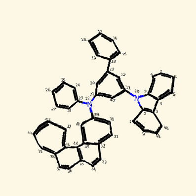 C1=Cc2c(c3ccccc3n2-c2cc(-c3ccccc3)cc(N(c3ccccc3)c3ccc4ccc5ccc6ccccc6c5c4c3)c2)CC1